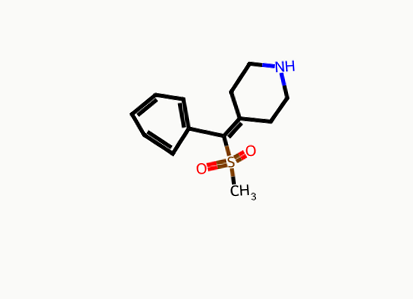 CS(=O)(=O)C(=C1CCNCC1)c1ccccc1